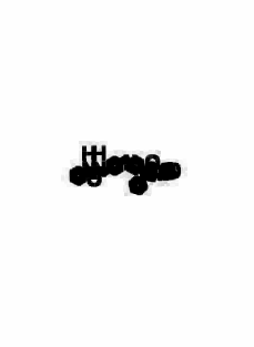 O=C(NCc1ccc(CN2CCC(N3C(=O)N(C4CCOCC4)C[C@H]3c3ccccc3)CC2)cc1)Nc1ccccc1